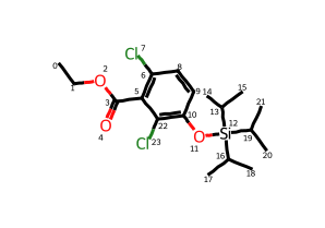 CCOC(=O)c1c(Cl)ccc(O[Si](C(C)C)(C(C)C)C(C)C)c1Cl